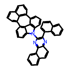 c1ccc2c(-c3nc4ccc5ccccc5c4nc3-n3c4cccc5c4c4c(cccc43)-c3cccc4cccc-5c34)cccc2c1